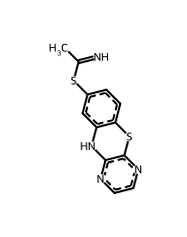 CC(=N)Sc1ccc2c(c1)Nc1nccnc1S2